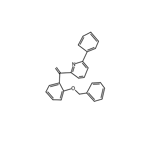 C=C(c1cccc(-c2ccccc2)n1)c1ccccc1OCc1ccccc1